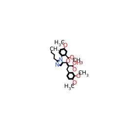 CCCCc1ncc(/C=C(\Cc2ccc(OC)c(OC)c2)C(=O)O)n1-c1ccc(OC)cc1C(=O)OC